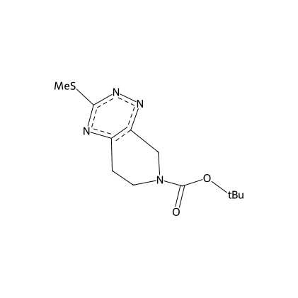 CSc1nnc2c(n1)CCN(C(=O)OC(C)(C)C)C2